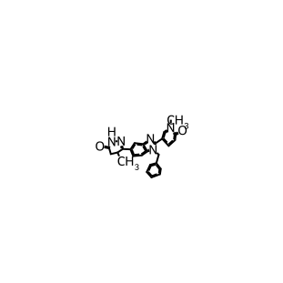 CC1CC(=O)NN=C1c1ccc2c(c1)nc(-c1ccc(=O)n(C)c1)n2Cc1ccccc1